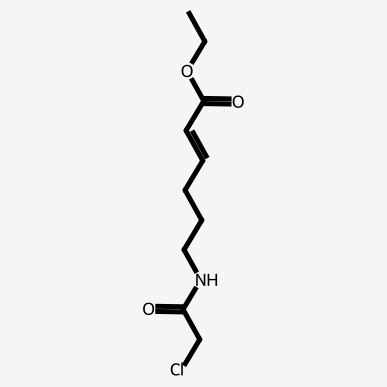 CCOC(=O)C=CCCCNC(=O)CCl